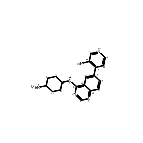 CNC1CCC(Nc2ncnc3ccc(-c4ccncc4F)cc23)CC1